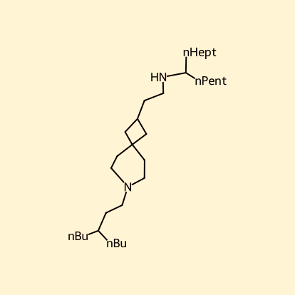 CCCCCCCC(CCCCC)NCCC1CC2(CCN(CCC(CCCC)CCCC)CC2)C1